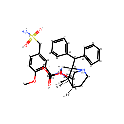 COc1ccc(CS(N)(=O)=O)cc1CN[C@H]1[C@@H]2CCN(C[C@@H]2OC(=O)O)[C@H]1C(c1ccccc1)c1ccccc1